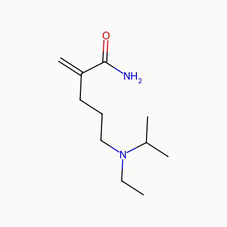 C=C(CCCN(CC)C(C)C)C(N)=O